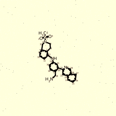 CS(=O)(=O)N1CCc2c(cccc2Nc2ccc(CN)c(-c3cc4ccccc4cn3)c2)C1